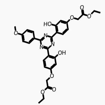 CCOC(=O)COc1ccc(-c2nc(-c3ccc(OC)cc3)nc(-c3ccc(OCC(=O)OCC)cc3O)n2)c(O)c1